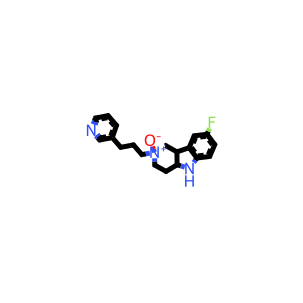 [O-][N+]1(CCCc2cccnc2)CCC2Nc3ccc(F)cc3C2C1